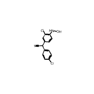 N#CC(c1ccc(Cl)cc1)c1ccc(NO)c(Cl)c1